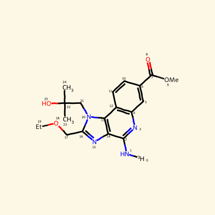 [3H]Nc1nc2cc(C(=O)OC)ccc2c2c1nc(COCC)n2CC(C)(C)O